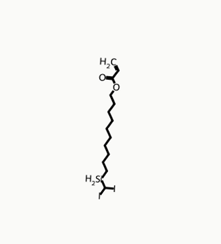 C=CC(=O)OCCCCCCCCCC[SiH2]C(I)I